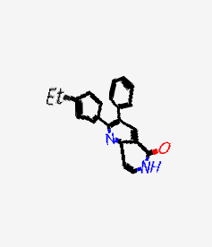 CCc1ccc(-c2nc3cc[nH]c(=O)c3cc2-c2ccccc2)cc1